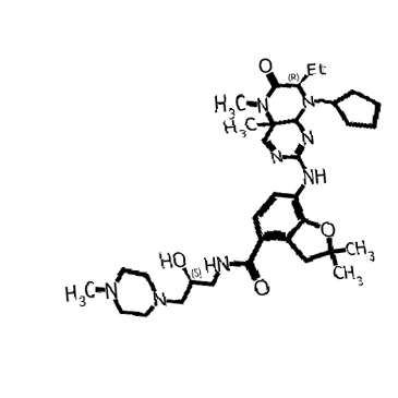 CC[C@@H]1C(=O)N(C)C2(C)C=NC(Nc3ccc(C(=O)NC[C@H](O)CN4CCN(C)CC4)c4c3OC(C)(C)C4)=NC2N1C1CCCC1